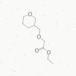 CCOC(=O)COCC1CCCOC1